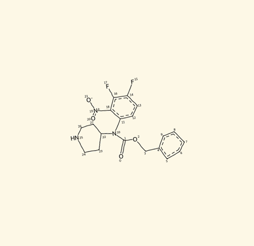 O=C(OCc1ccccc1)N(c1ccc(F)c(F)c1[N+](=O)[O-])C1CCNCC1